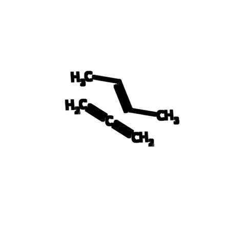 C=C=C.CC=CC